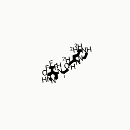 [2H]C1([2H])NCCn2nc(C([2H])([2H])OC[C@H](C)Nc3cn[nH]c(=O)c3C(F)(F)F)cc21